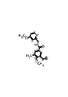 COc1ccnc(CNC(=O)c2cc(C)c(OC)c(CBr)c2)c1